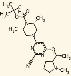 C[C@H](Oc1cc(N2C[C@@H](C)N(C(=O)OC(C)(C)C)[C@@H](C)C2)nc(C#N)n1)[C@@H]1CCCN1C